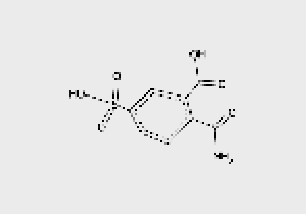 NC(=O)c1ccc(S(=O)(=O)O)cc1C(=O)O